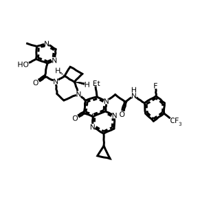 CCc1c(N2CCN(C(=O)c3ncnc(C)c3O)[C@H]3CC[C@@H]32)c(=O)c2nc(C3CC3)cnc2n1CC(=O)Nc1ccc(C(F)(F)F)cc1F